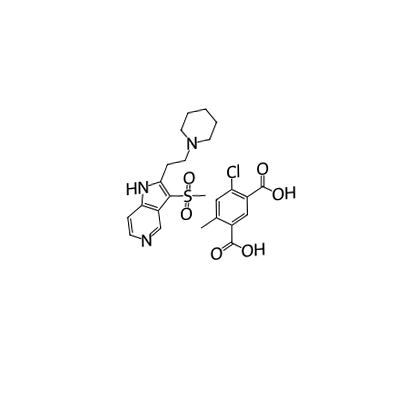 CS(=O)(=O)c1c(CCN2CCCCC2)[nH]c2ccncc12.Cc1cc(Cl)c(C(=O)O)cc1C(=O)O